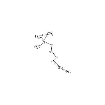 C[Si](C)(C)CCCN=[N+]=[N-]